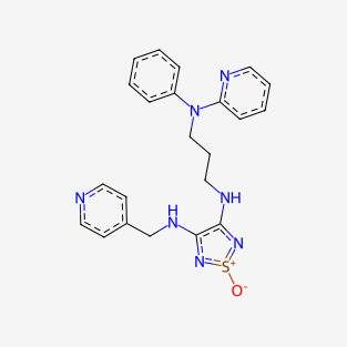 [O-][s+]1nc(NCCCN(c2ccccc2)c2ccccn2)c(NCc2ccncc2)n1